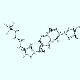 Cn1cc(-c2cnc3ccc(Nc4ccn(COCC[Si](C)(C)C)n4)nc3c2)cn1